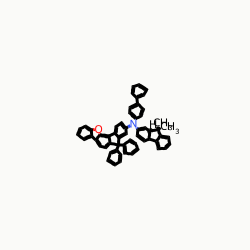 CC1(C)c2ccccc2C2C=CC(N(c3ccc(-c4ccccc4)cc3)c3ccc4c(c3)C(c3ccccc3)(c3ccccc3)c3ccc5c(oc6ccccc65)c3-4)=C[C@@H]21